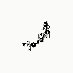 CC(C)(C)OC(=O)Nc1ccc(CCn2cnc3c(Nc4cccc(NC(=O)OC(C)(C)C)c4)ncnc32)cc1